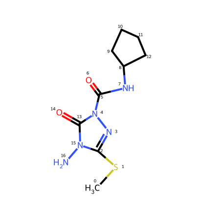 CSc1nn(C(=O)NC2CCCC2)c(=O)n1N